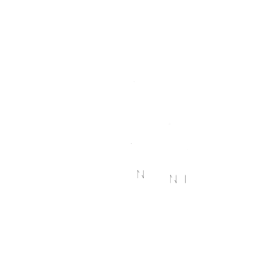 C[C](C)Cc1n[nH]cc1C